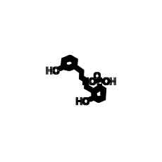 O=P(O)(O)c1cccc(O)c1CCCCc1cccc(O)c1